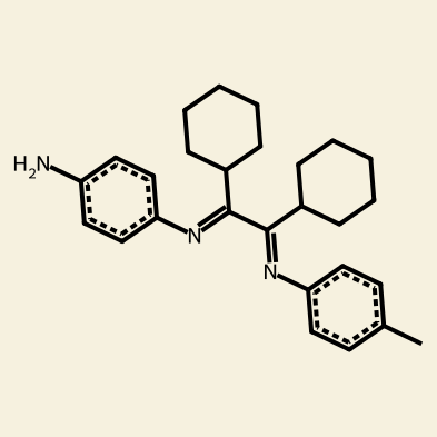 Cc1ccc(/N=C(/C(=N/c2ccc(N)cc2)C2CCCCC2)C2CCCCC2)cc1